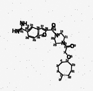 CC1CCCC(OCC(=O)N2CCN(C(=O)c3cc4cc(C(=N)N)ccc4o3)CC2)CCC1